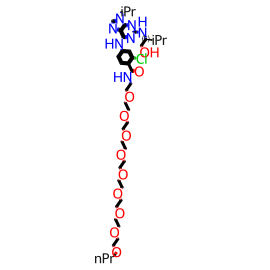 CCCOCCOCCOCCOCCOCCOCCOCCOCCOCCNC(=O)c1ccc(Nc2nc(N[C@H](CO)C(C)C)nc3c2ncn3C(C)C)cc1Cl